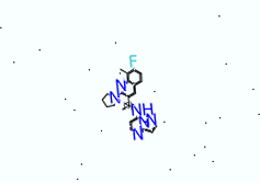 Cc1c(F)ccc2cc([C@H](C)Nc3ccnc4ccnn34)c(N3CCCC3)nc12